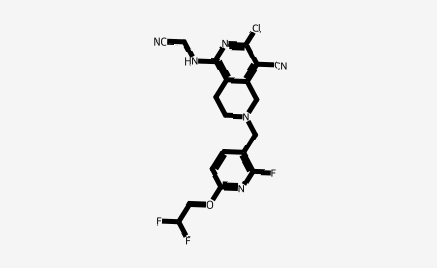 N#CCNc1nc(Cl)c(C#N)c2c1CCN(Cc1ccc(OCC(F)F)nc1F)C2